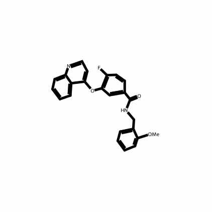 COc1ccccc1CNC(=O)c1ccc(F)c(Oc2ccnc3ccccc23)c1